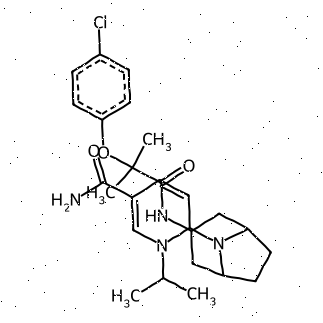 CC(C)N1C=C(C(N)=O)C=CC1N1C2CCC1CC(NC(=O)C(C)(C)Oc1ccc(Cl)cc1)C2